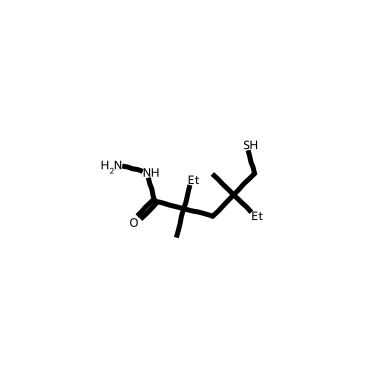 CCC(C)(CS)CC(C)(CC)C(=O)NN